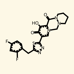 O=C1c2c(O)c(=O)c(-c3nnc(Cc4ccc(F)cc4F)s3)cn2CN2CCCCN12